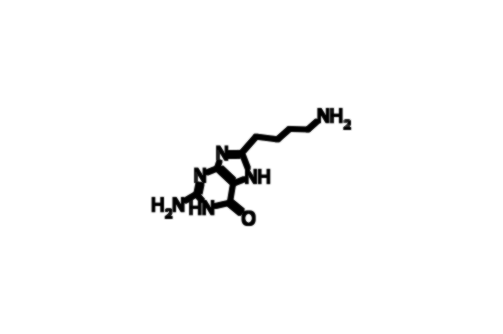 NCCCCc1nc2nc(N)[nH]c(=O)c2[nH]1